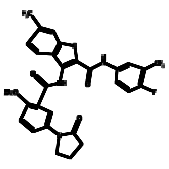 COc1ccc(N2CCCC2=O)cc1C(=O)Nc1c(C(=O)Nc2ccc(F)c(C(F)(F)F)c2)sc2cc(C(F)(F)F)ccc12